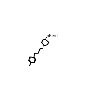 CCCCC[C@H]1CC[C@H](C=CCCc2ccc(C)cc2)CC1